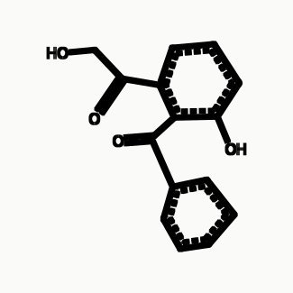 O=C(CO)c1cccc(O)c1C(=O)c1ccccc1